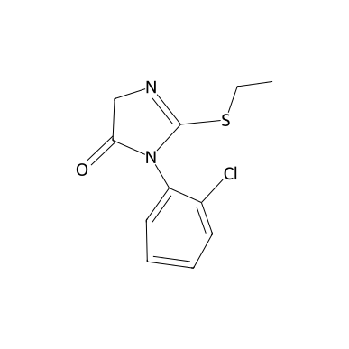 CCSC1=NCC(=O)N1c1ccccc1Cl